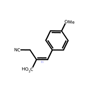 COc1ccc(/C=C(\CC#N)C(=O)O)cc1